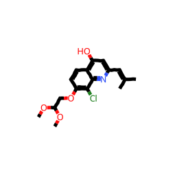 COC(COc1ccc2c(O)cc(C=C(C)C)nc2c1Cl)OC